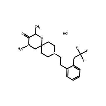 CC1OC2(CCN(CCc3ccccc3OC(F)(F)F)CC2)CN(C)C1=O.Cl